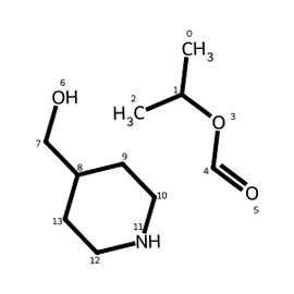 CC(C)OC=O.OCC1CCNCC1